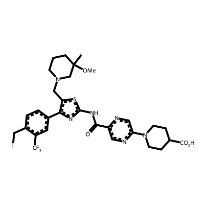 COC1(C)CCCN(Cc2sc(NC(=O)c3cnc(N4CCC(C(=O)O)CC4)cn3)nc2-c2ccc(CI)c(C(F)(F)F)c2)C1